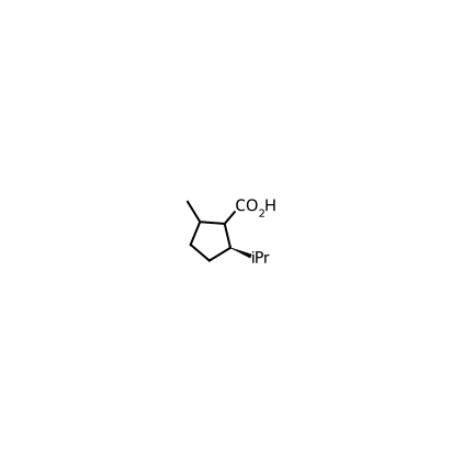 CC1CC[C@H](C(C)C)C1C(=O)O